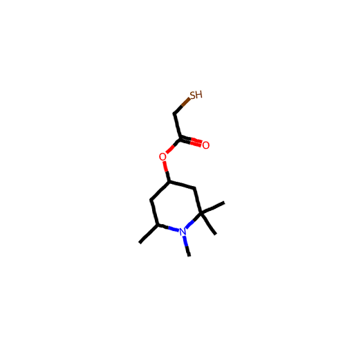 CC1CC(OC(=O)CS)CC(C)(C)N1C